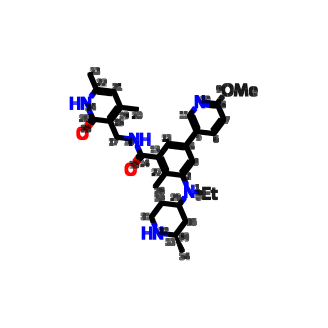 CCN(c1cc(-c2ccc(OC)nc2)cc(C(=O)NCc2c(C)cc(C)[nH]c2=O)c1C)C1CCN[C@H](C)C1